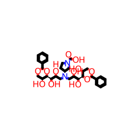 O=C(O)N1CC[C@@H](N(CC(O)C(O)[C@@H]2OC(c3ccccc3)OC[C@H]2O)CC(O)C(O)[C@@H]2OC(c3ccccc3)OC[C@H]2O)C1